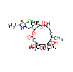 CC(=Cc1nc(C)sc1Br)[C@@H]1C[C@@H]2O[C@@H]2CCC[C@H](C)[C@H](O)[C@@H](C)C(=O)C(C)(C)[C@@H](O)CC(=O)O1